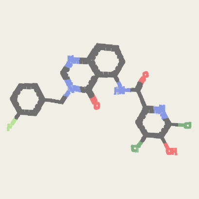 O=C(Nc1cccc2ncn(Cc3cccc(F)c3)c(=O)c12)c1cc(Cl)c(O)c(Cl)n1